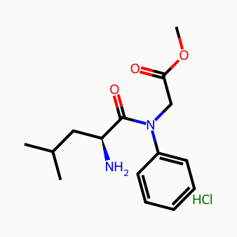 COC(=O)CN(C(=O)[C@@H](N)CC(C)C)c1ccccc1.Cl